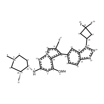 COc1nc(N[C@H]2CCN(C)C[C@H]2F)nn2cc(F)c(-c3ccc4nnn(C5CC(F)(F)C5)c4c3)c12